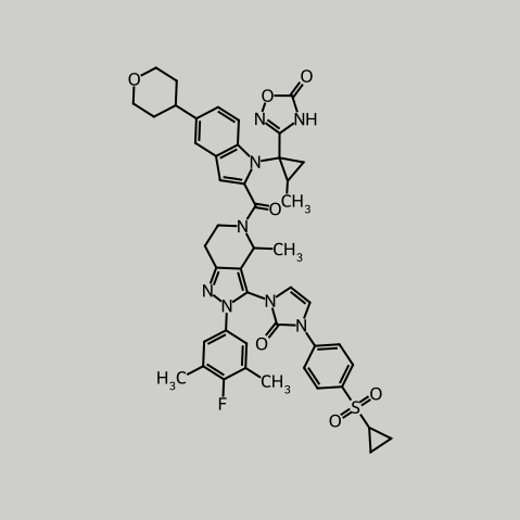 Cc1cc(-n2nc3c(c2-n2ccn(-c4ccc(S(=O)(=O)C5CC5)cc4)c2=O)C(C)N(C(=O)c2cc4cc(C5CCOCC5)ccc4n2C2(c4noc(=O)[nH]4)CC2C)CC3)cc(C)c1F